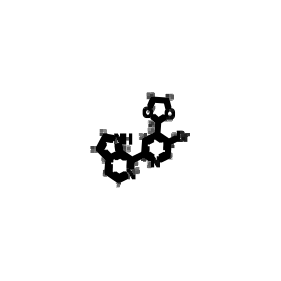 Brc1cnc(-c2nccc3cc[nH]c23)cc1C1OCCO1